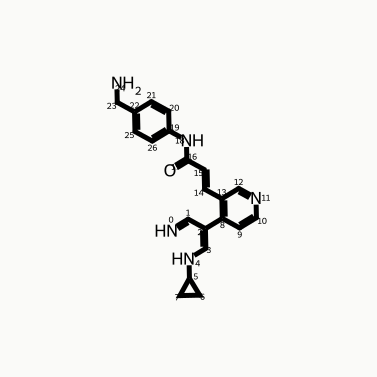 N=C/C(=C\NC1CC1)c1ccncc1/C=C/C(=O)Nc1ccc(CN)cc1